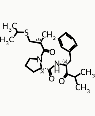 CC(C)SC[C@@H](C)C(=O)N1CCC[C@H]1C(=O)N[C@@H](Cc1ccccc1)C(=O)C(C)C